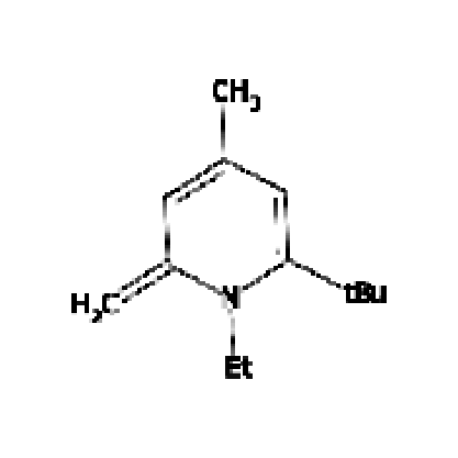 C=C1C=C(C)C=C(C(C)(C)C)N1CC